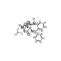 CC(C)C[C@@H](C(=O)C1(N)N=C(c2ccccc2)c2ccccc2N(C)C1=O)[C@H](C)O